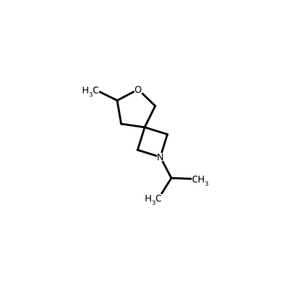 CC1CC2(CO1)CN(C(C)C)C2